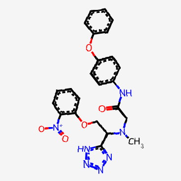 CN(CC(=O)Nc1ccc(Oc2ccccc2)cc1)C(COc1ccccc1[N+](=O)[O-])c1nnn[nH]1